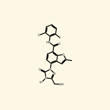 CCn1c(CO)nn(-c2ccc(C(=O)Nc3c(F)cccc3Cl)c3oc(C)cc23)c1=O